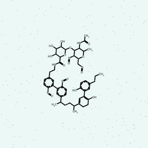 CCCc1ccc(O)c(C2=C(O)CCC(C(C)CCC(C)c3ccc(N=O)c(-c4cc(CCNC(=O)C5OC(OC6C(N=O)C(CN=O)OC(C)C6NC(C)=O)C(O)C(O)C5O)ccc4N=O)c3)=C2)c1